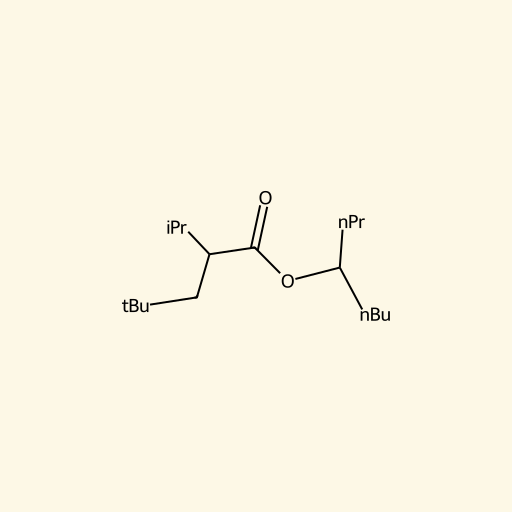 CCCCC(CCC)OC(=O)C(CC(C)(C)C)C(C)C